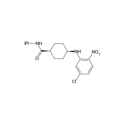 CC(C)NC(=O)[C@H]1CC[C@@H](Nc2cc(Cl)ccc2[N+](=O)[O-])CC1